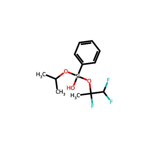 CC(C)O[Si](O)(OC(C)(F)C(F)F)c1ccccc1